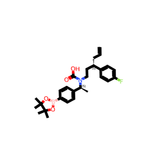 C=CC[C@@H](CCN(C(=O)O)[C@@H](C)c1ccc(B2OC(C)(C)C(C)(C)O2)cc1)c1ccc(F)cc1